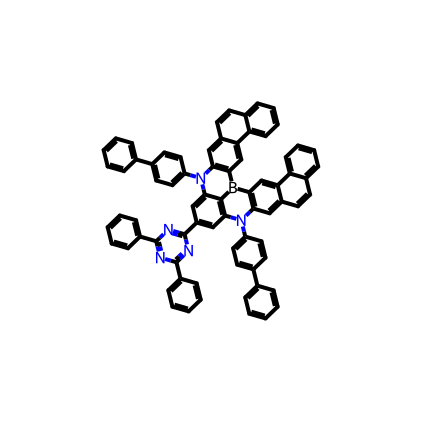 c1ccc(-c2ccc(N3c4cc5ccc6ccccc6c5cc4B4c5cc6c(ccc7ccccc76)cc5N(c5ccc(-c6ccccc6)cc5)c5cc(-c6nc(-c7ccccc7)nc(-c7ccccc7)n6)cc3c54)cc2)cc1